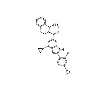 CC1c2ccccc2CCN1C(=O)c1cc(C2CC2)c2cc(-c3ccc(C4CC4)cc3F)[nH]c2c1